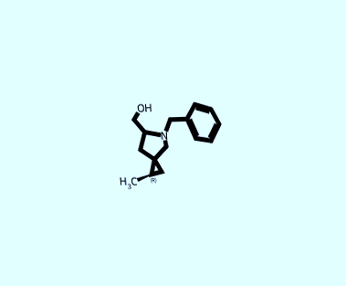 C[C@@H]1CC12CC(CO)N(Cc1ccccc1)C2